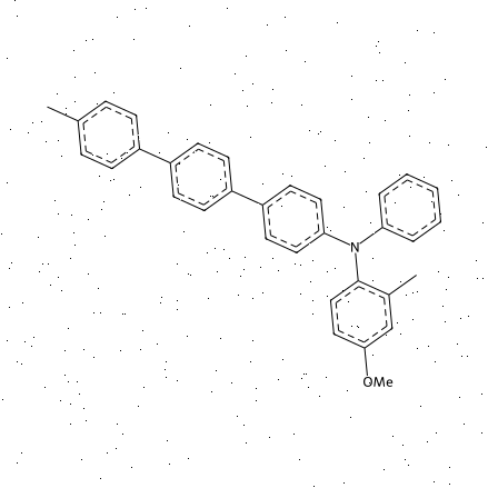 COc1ccc(N(c2ccccc2)c2ccc(-c3ccc(-c4ccc(C)cc4)cc3)cc2)c(C)c1